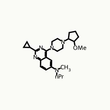 CCCN(C)c1ccc2nc(C3CC3)nc(N3CCN(C4CCCC4OC)CC3)c2c1